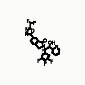 O=C1c2cc(-c3nnc(C(F)F)o3)ccc2CN1[C@H](c1cc(F)c(F)c(F)c1)[C@@H](O)c1ccccn1